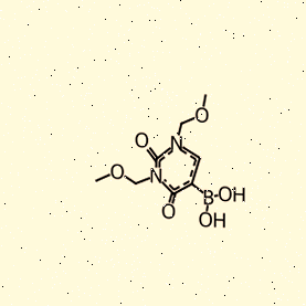 COCn1cc(B(O)O)c(=O)n(COC)c1=O